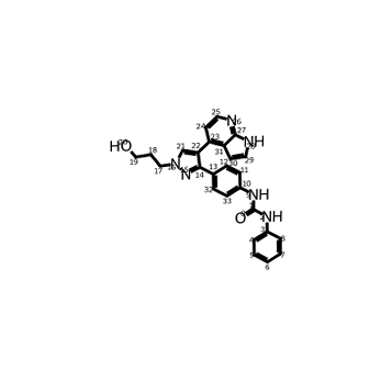 O=C(Nc1ccccc1)Nc1ccc(-c2nn(CCCO)cc2-c2ccnc3[nH]ccc23)cc1